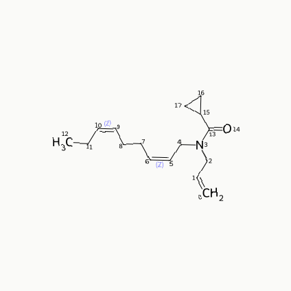 C=CCN(C/C=C\CC/C=C\CC)C(=O)C1CC1